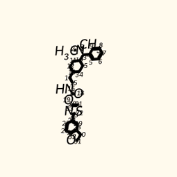 CN(C)C(c1ccccc1)C1CCC(CCNC(=O)Oc2csc(-c3ccc4c(c3)CCO4)n2)CC1